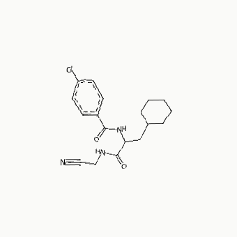 N#CCNC(=O)C(CC1CCCCC1)NC(=O)c1ccc(Cl)cc1